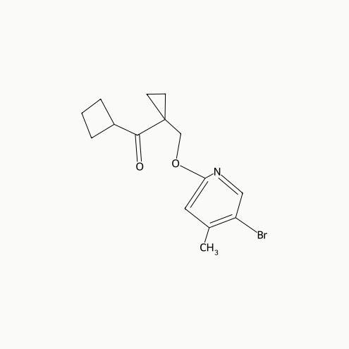 Cc1cc(OCC2(C(=O)C3CCC3)CC2)ncc1Br